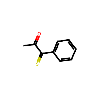 [CH2]C(=O)C(=S)c1ccccc1